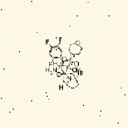 CC(C)(C(=O)N1[C@@H]2CC[C@H]1C[C@H]([C@H](N)Cc1cc(F)c(F)cc1F)C2)S(=O)(=O)N1CCOCC1